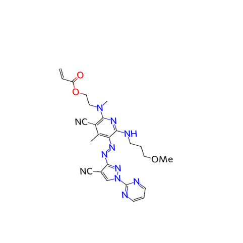 C=CC(=O)OCCN(C)c1nc(NCCCOC)c(N=Nc2nn(-c3ncccn3)cc2C#N)c(C)c1C#N